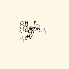 CN1CCC(F)CC1CN(c1cnn(C)c1)S(=O)(=O)NC(=O)Nc1c2c(cc3c1CCC3)CCC2